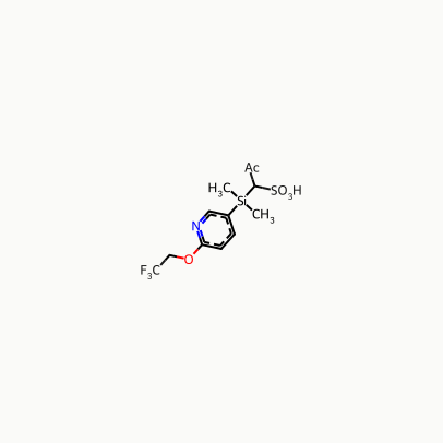 CC(=O)C([Si](C)(C)c1ccc(OCC(F)(F)F)nc1)S(=O)(=O)O